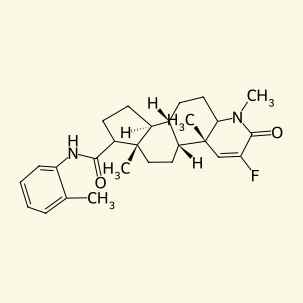 Cc1ccccc1NC(=O)C1CC[C@H]2[C@@H]3CCC4N(C)C(=O)C(F)=C[C@]4(C)[C@@H]3CC[C@]12C